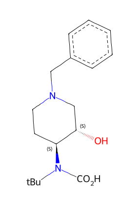 CC(C)(C)N(C(=O)O)[C@H]1CCN(Cc2ccccc2)C[C@@H]1O